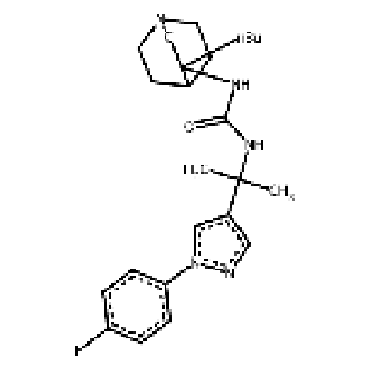 CCCCC1(NC(=O)NC(C)(C)c2cnn(-c3ccc(F)cc3)c2)CN2CCC1CC2